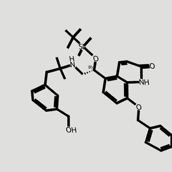 CC(C)(Cc1cccc(CO)c1)NC[C@H](O[Si](C)(C)C(C)(C)C)c1ccc(OCc2ccccc2)c2[nH]c(=O)ccc12